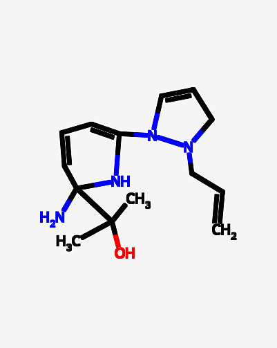 C=CCN1CC=CN1C1=CC=CC(N)(C(C)(C)O)N1